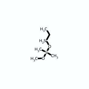 CC[SiH2]O[Si](C)(C)OC